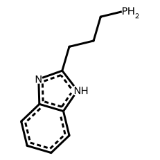 PCCCc1nc2ccccc2[nH]1